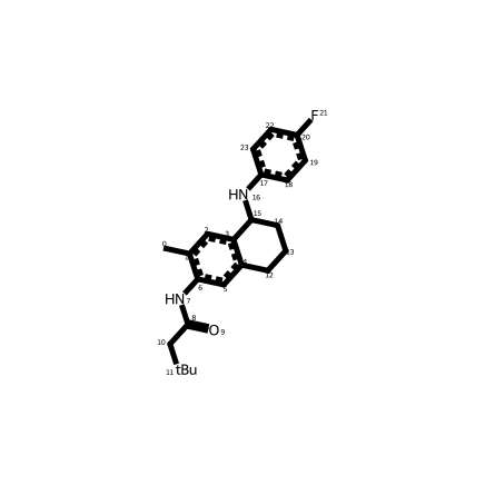 Cc1cc2c(cc1NC(=O)CC(C)(C)C)CCCC2Nc1ccc(F)cc1